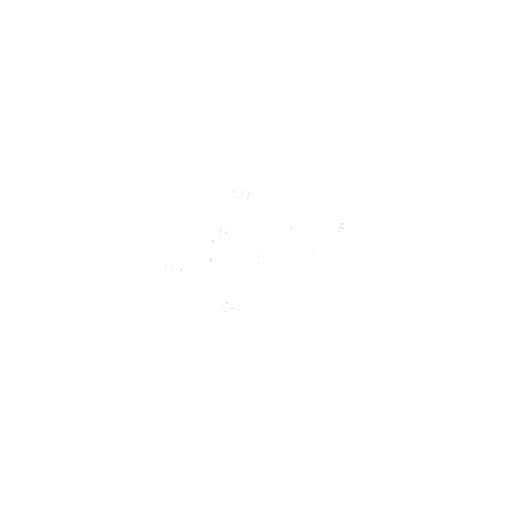 COc1cc(F)ccc1C(O)C(C)C